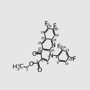 CCOC(=O)c1cn(-c2ccc(F)cc2F)c2nc3cc(F)c(F)cc3cc2c1=O